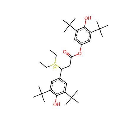 CC[SH](CC)C(CC(=O)Oc1cc(C(C)(C)C)c(O)c(C(C)(C)C)c1)c1cc(C(C)(C)C)c(O)c(C(C)(C)C)c1